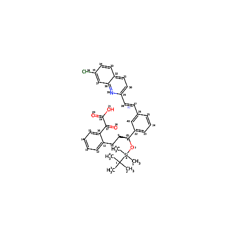 CC(C)(C)[Si](C)(C)O[C@@H](CCc1ccccc1C(=O)C(=O)O)c1cccc(/C=C/c2ccc3ccc(Cl)cc3n2)c1